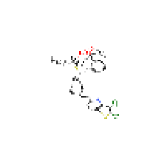 CC(C)(O)c1ccccc1CC[C@@H](SCC1(CC(=O)O)CC1)c1cccc(/C=C/c2ccc3sc(Cl)c(Cl)c3n2)c1